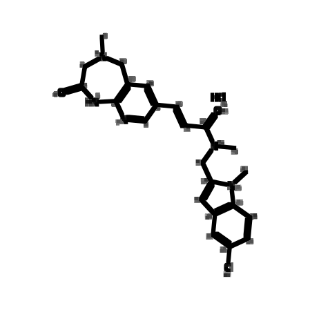 CN1CC(=O)Nc2ncc(C=CC(=O)N(C)Cc3cc4cc(Cl)ccc4n3C)cc2C1.Cl